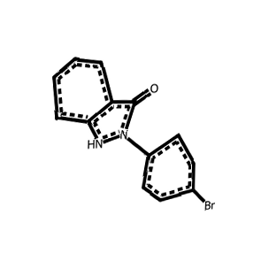 O=c1c2ccccc2[nH]n1-c1ccc(Br)cc1